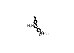 CC(C)(C)OC(=O)N1CCC(c2cc(N)n(-c3ccc(C4CC4)cn3)n2)CC1